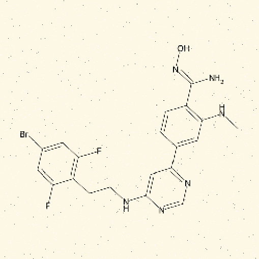 CNc1cc(-c2cc(NCCc3c(F)cc(Br)cc3F)ncn2)ccc1/C(N)=N/O